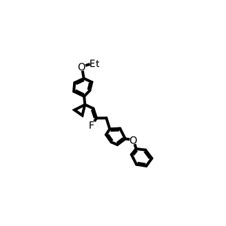 CCOc1ccc(C2(C=C(F)Cc3cccc(Oc4ccccc4)c3)CC2)cc1